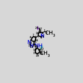 CCc1ncc(-c2ccc3ncnc(Nc4cccc(C)c4F)c3c2)cc1CI